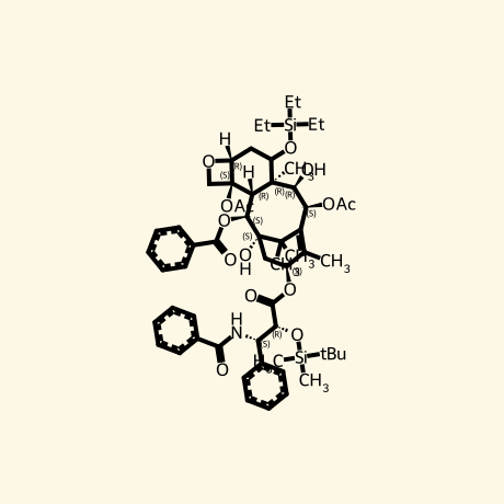 CC[Si](CC)(CC)OC1C[C@H]2OC[C@@]2(OC(C)=O)[C@H]2[C@H](OC(=O)c3ccccc3)[C@]3(O)C[C@H](OC(=O)[C@H](O[Si](C)(C)C(C)(C)C)[C@@H](NC(=O)c4ccccc4)c4ccccc4)C(C)=C([C@H](OC(C)=O)[C@H](O)[C@]12C)C3(C)C